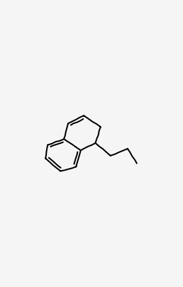 CCCC1CC=Cc2ccccc21